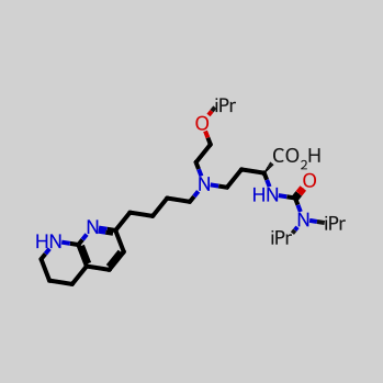 CC(C)OCCN(CCCCc1ccc2c(n1)NCCC2)CC[C@H](NC(=O)N(C(C)C)C(C)C)C(=O)O